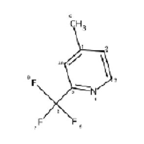 Cc1[c][c]nc(C(F)(F)F)[c]1